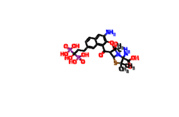 CCOc1c(N)cc2ccc(CCC(O)(P(=O)(O)O)P(=O)(O)O)cc2c1C(=O)C1C(=O)N2C1SC(C)(C)C2(N)C(=O)O